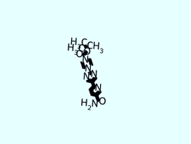 CC(C)(C)OC(=O)N1CCN(c2ncc(-c3ccc(C(N)=O)cn3)cn2)CC1